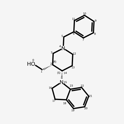 OC[C@@H]1CN(Cc2ccccc2)CC[C@@H]1N1CCc2ccccc21